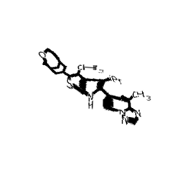 Cc1c(C2CC3COCC(C3)C2)sc2[nH]c(-c3cc(C)c4ncnn4c3)c(C(C)C)c12